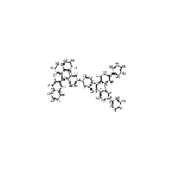 c1ccc(-c2ccc(-c3sc4cc(-c5ccc(N(c6ccc7ccccc7c6)c6cccc7ccccc67)cc5)ccc4c3-c3ccc(-c4ccccc4)cc3)cc2)cc1